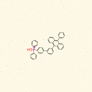 O[PH](c1ccccc1)(c1ccccc1)c1ccc(-c2cccc(-c3c4ccccc4c(-c4ccccc4)c4ccccc34)c2)cc1